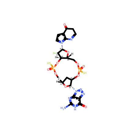 Nc1nc2c(nnn2[C@@H]2O[C@@H]3COP(=O)(S)O[C@H]4[C@H](F)[C@H](n5ccc6c5N=CCC6=O)O[C@@H]4COP(=O)(S)O[C@@H]2C3)c(=O)[nH]1